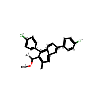 CC(=O)C(OC(C)(C)C)c1c(C)cc2cc(-c3ccc(Cl)cc3)ccc2c1-c1ccc(Cl)cc1